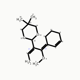 C/C=C(\C(OC)=C1\C=CCCC1)C1OCC(C)(C)CO1